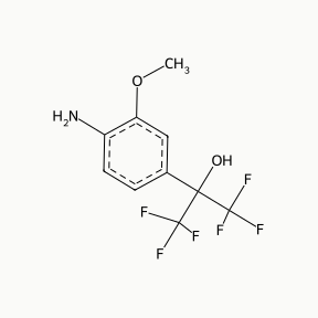 COc1cc(C(O)(C(F)(F)F)C(F)(F)F)ccc1N